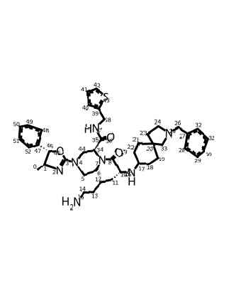 C[C@@H]1N=C(N2CCN(C(=O)[C@@H](CCCCN)NC3CCC4(CC3)CCN(Cc3ccccc3)C4)[C@H](C(=O)NCc3cccs3)C2)O[C@H]1c1ccccc1